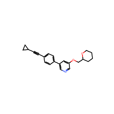 C(#CC1CC1)c1ccc(-c2cncc(OCC3CCCCO3)c2)cc1